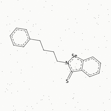 S=c1c2ccccc2[se]n1CCCCc1ccccc1